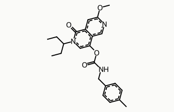 CCC(CC)n1cc(OC(=O)NCc2ccc(C)cc2)c2cnc(OC)cc2c1=O